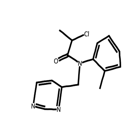 Cc1ccccc1N(Cc1ccncn1)C(=O)C(C)Cl